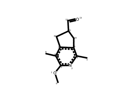 COc1nc(C)c2c(c1C)CC(C=O)C2